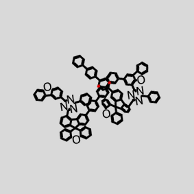 c1ccc(-c2ccc(-c3ccc(-c4ccc5c(c4)C4(c6ccccc6Oc6ccccc64)c4cccc(-c6nc(-c7ccccc7)nc(-c7cc(-c8cccc(-c9ccc(-c%10ccc(-c%11ccc%12c(c%11)-c%11c(-c%13nc(-c%14ccccc%14)nc(-c%14ccc%15oc%16ccccc%16c%15c%14)n%13)cccc%11C%12%11c%12ccccc%12Oc%12ccccc%12%11)cc%10)cc9)c8)cc8c7oc7ccccc78)n6)c4-5)cc3)cc2)cc1